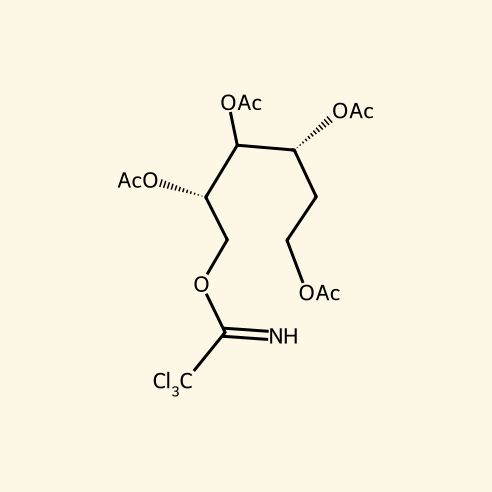 CC(=O)OCC[C@@H](OC(C)=O)C(OC(C)=O)[C@H](COC(=N)C(Cl)(Cl)Cl)OC(C)=O